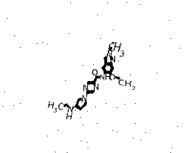 CCN[C@@H]1CCN(c2cnc(C(=O)Nc3cc4cn(C)nc4cc3OCC)cn2)C1